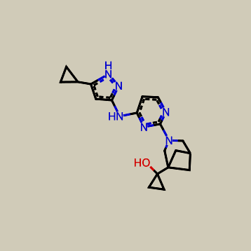 OC1(C23CC(CN(c4nccc(Nc5cc(C6CC6)[nH]n5)n4)C2)C3)CC1